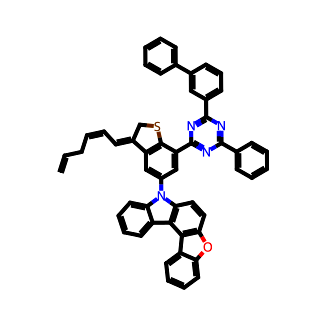 C=CC/C=C\C=C1/CSc2c1cc(-n1c3ccccc3c3c4c(ccc31)oc1ccccc14)cc2-c1nc(-c2ccccc2)nc(-c2cccc(-c3ccccc3)c2)n1